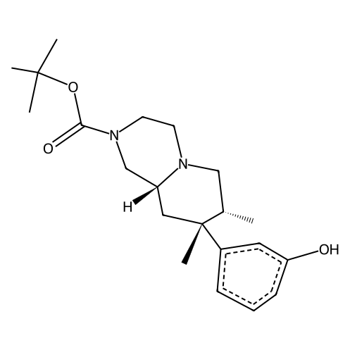 C[C@H]1CN2CCN(C(=O)OC(C)(C)C)C[C@H]2C[C@@]1(C)c1cccc(O)c1